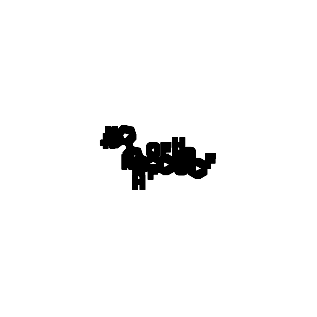 Cn1cc2c(-c3cnc4c(c3)C(C(=O)c3c(F)ccc(NS(=O)(=O)c5cccc(F)c5)c3F)CN4)cccc2n1